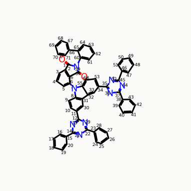 O=C1c2cccc(-n3c4ccc(-c5nc(-c6ccccc6)nc(-c6ccccc6)n5)cc4c4cc(-c5nc(-c6ccccc6)nc(-c6ccccc6)n5)ccc43)c2C(=O)N1c1ccccc1-c1ccccc1